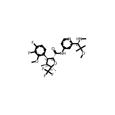 CN[C@H](c1cc(NC(=O)[C@@H]2O[C@@](C)(C(F)(F)F)[C@@H](C)[C@H]2c2ccc(F)c(F)c2OC)ccn1)C(C)(C)OC